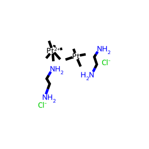 NCCN.NCCN.[CH3][Pt+2]([CH3])([CH3])([CH3])([CH3])[CH3].[CH3][Pt]([CH3])([CH3])[CH3].[Cl-].[Cl-]